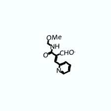 COCNC(=O)/C([C]=O)=C/c1ccccn1